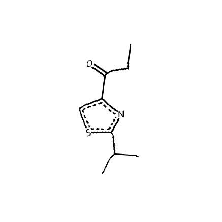 CCC(=O)c1csc(C(C)C)n1